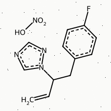 C=CC(Cc1ccc(F)cc1)n1cncn1.O=[N+]([O-])O